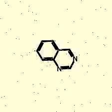 [c]1c[c]c2cncnc2c1